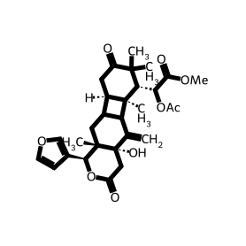 C=C1C2C(C[C@@]3(C)[C@H](c4ccoc4)OC(=O)C[C@]13O)[C@H]1CC(=O)C(C)(C)[C@H](C(OC(C)=O)C(=O)OC)[C@@]21C